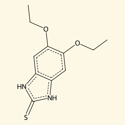 CCOc1cc2[nH]c(=S)[nH]c2cc1OCC